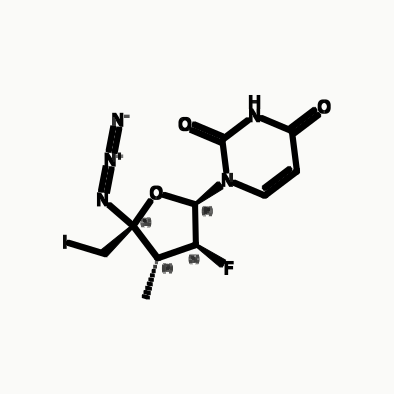 C[C@H]1[C@H](F)[C@H](n2ccc(=O)[nH]c2=O)O[C@@]1(CI)N=[N+]=[N-]